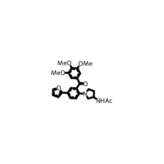 COc1cc(C(=O)c2cc(-c3ccco3)ccc2N2CCC(NC(C)=O)C2)cc(OC)c1OC